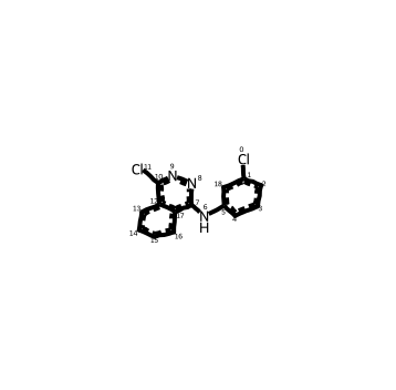 Clc1cccc(Nc2nnc(Cl)c3ccccc23)c1